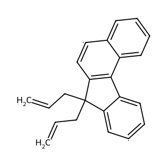 C=CCC1(CC=C)c2c[c]ccc2-c2c1c[c]c1ccccc21